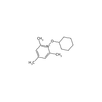 Cc1cc(C)[n+](OC2CCCCC2)c(C)c1